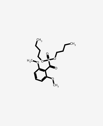 CCCCOP(=O)(OCCCC)C(=O)c1c(OC)cccc1OC